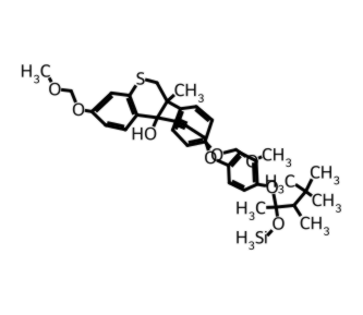 COCOc1ccc(C2(C)CSc3cc(OCOC)ccc3C2(O)C#CCOc2ccc(OC(C)(O[SiH3])C(C)C(C)(C)C)cc2)cc1